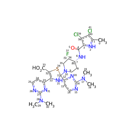 Cc1[nH]c(C(=O)N[C@@H]2CCN(C3(c4ccnc(N(C)C)n4)NC(c4ccnc(N(C)C)n4)=C(C(=O)O)S3)C[C@@H]2F)c(Cl)c1Cl